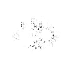 CC[C@H]1OC(=O)[C@H](C)[C@@H](O[C@H]2C[C@@](C)(OC)[C@@H](O)[C@H](C)O2)[C@H](C)[C@@H](O[C@@H]2O[C@H](C)C[C@H](N(C)CCc3cn(CCc4ccccn4)nn3)[C@H]2O)[C@](C)(OC)C[C@@H](C)C(=O)[C@H](C)[C@@H](O)[C@]1(C)O